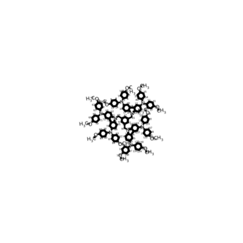 COc1ccc(N(c2ccc(OC)cc2)c2ccc3c(c2)c2cc(N(c4ccc(OC)cc4)c4ccc(OC)cc4)ccc2n3Cc2cc(Cn3c4ccc(N(c5ccc(OC)cc5)c5ccc(OC)cc5)cc4c4cc(N(c5ccc(OC)cc5)c5ccc(OC)cc5)ccc43)cc(Cn3c4ccc(N(c5ccc(OC)cc5)c5ccc(OC)cc5)cc4c4cc(N(c5ccc(OC)cc5)c5ccc(OC)cc5)ccc43)c2)cc1